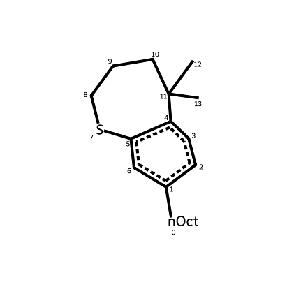 CCCCCCCCc1ccc2c(c1)SCCCC2(C)C